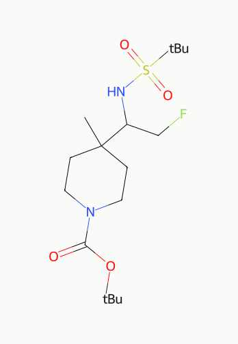 CC(C)(C)OC(=O)N1CCC(C)(C(CF)NS(=O)(=O)C(C)(C)C)CC1